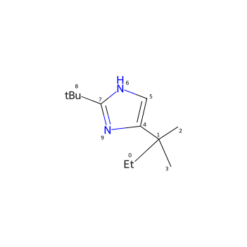 CCC(C)(C)c1c[nH]c(C(C)(C)C)n1